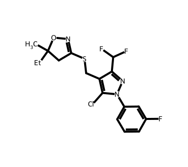 CCC1(C)CC(SCc2c(C(F)F)nn(-c3cccc(F)c3)c2Cl)=NO1